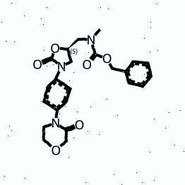 CN(C[C@H]1CN(c2ccc(N3CCOCC3=O)cc2)C(=O)O1)C(=O)OCc1ccccc1